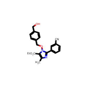 CCOC(=O)c1c(C)nc(-c2cccc(C#N)c2)n1OCc1ccc(CO)cc1